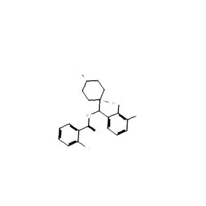 O=C(NC(c1cccc(F)c1Cl)[C@]1(O)CC[C@@H](F)CC1)c1ccccc1Cl